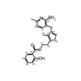 Cc1ncc(C[n+]2csc(CCOC(=O)c3ccccc3O)c2C)c(N)n1